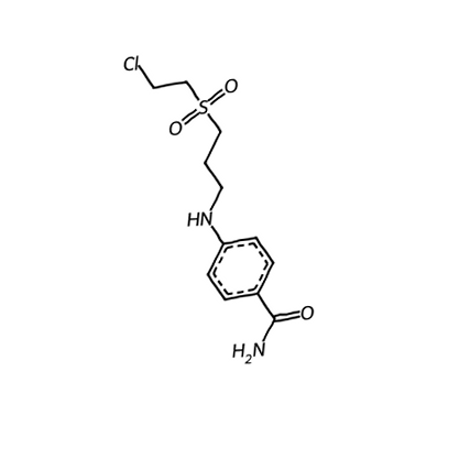 NC(=O)c1ccc(NCCCS(=O)(=O)CCCl)cc1